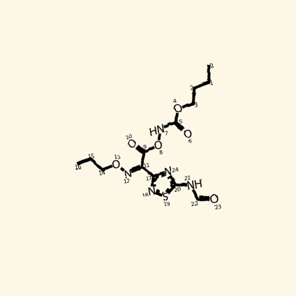 CCCCOC(=O)NOC(=O)C(=NOCCC)c1nsc(NC=O)n1